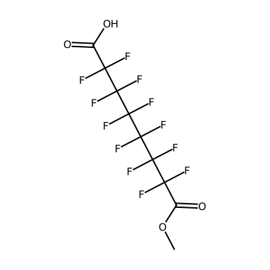 COC(=O)C(F)(F)C(F)(F)C(F)(F)C(F)(F)C(F)(F)C(F)(F)C(=O)O